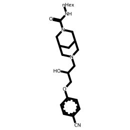 CCCCCCNC(=O)N1CC2CC(CN(CC(O)COc3ccc(C#N)cc3)C2)C1